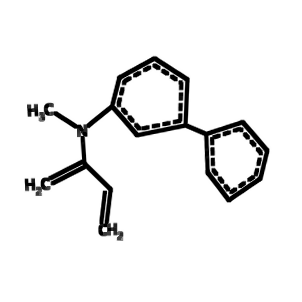 C=CC(=C)N(C)c1cccc(-c2ccccc2)c1